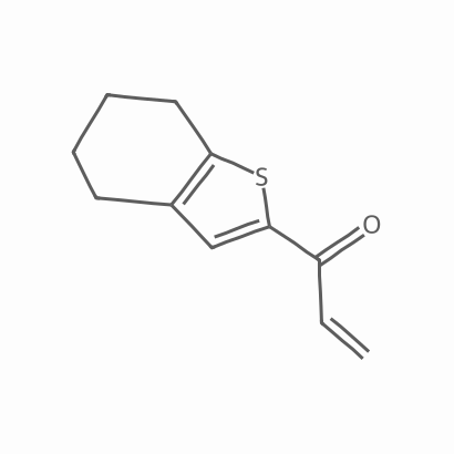 C=CC(=O)c1cc2c(s1)CCCC2